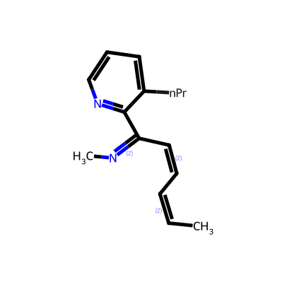 C\C=C/C=C\C(=N\C)c1ncccc1CCC